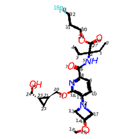 CCC(CC)(NC(=O)c1ccc(N2CC(OC)C2)c(OC[C@H]2C[C@@H]2CO)n1)C(=O)OCCC[18F]